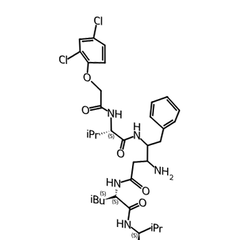 CC[C@H](C)[C@H](NC(=O)CC(N)C(Cc1ccccc1)NC(=O)[C@@H](NC(=O)COc1ccc(Cl)cc1Cl)C(C)C)C(=O)N[C@H](C(=O)O)C(C)C